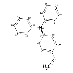 C=CC1=CC[C@@H](N(c2ccccc2)c2ccccc2)C=C1